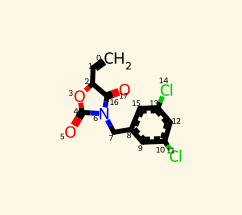 C=CC1OC(=O)N(Cc2cc(Cl)cc(Cl)c2)C1=O